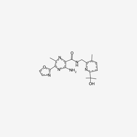 Cc1ccc(C(C)(C)O)nc1CNC(=O)c1nc(C)c(-c2ncco2)nc1N